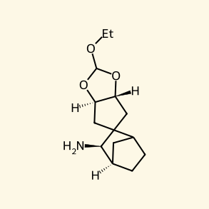 CCOC1O[C@@H]2CC3(C[C@H]2O1)C1CC[C@H](C1)[C@H]3N